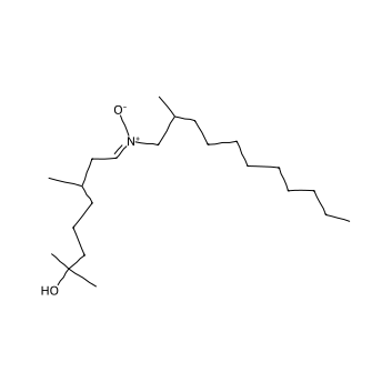 CCCCCCCCCC(C)C[N+]([O-])=CCC(C)CCCC(C)(C)O